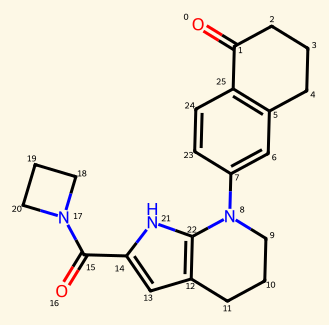 O=C1CCCc2cc(N3CCCc4cc(C(=O)N5CCC5)[nH]c43)ccc21